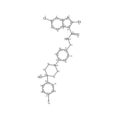 CCc1nc2cc(Cl)ccn2c1C(=O)NCc1ccc(N2CCC(O)(c3ccc(F)cc3)CC2)cc1